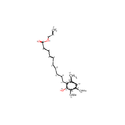 C=CCOC(=O)CCCCCCCCCc1c(C)cc(OC)c(OC)c1O